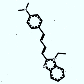 CC[n+]1c(/C=C/C=C/c2ccc(N(C)C)cc2)oc2ccccc21